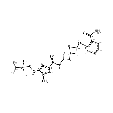 Cn1nc(C(=O)NC2CC3(C2)CC(Oc2ncccc2C(N)=O)C3)cc1OCC(F)(F)C(F)F